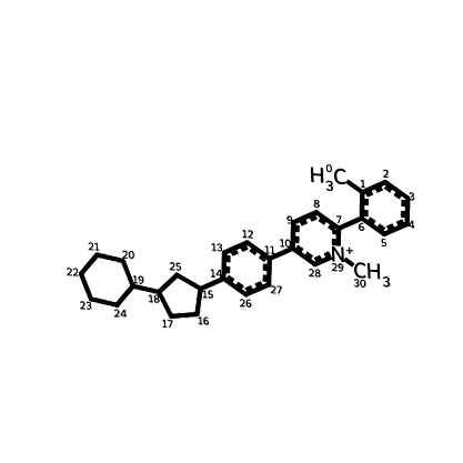 Cc1ccccc1-c1ccc(-c2ccc(C3CCC(C4CCCCC4)C3)cc2)c[n+]1C